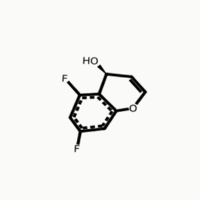 O[C@H]1C=COc2cc(F)cc(F)c21